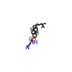 CC[C@H](CC[C@@H](C)[C@H]1CCC2[C@@H]3CC=C4C[C@@H](OC(=O)NCCCN(C)C)CC[C@]4(C)[C@H]3CC[C@@]21C)C(C)C